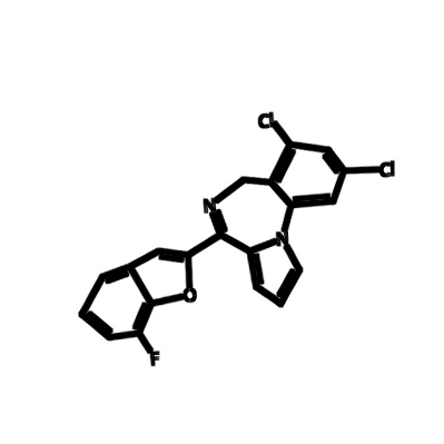 Fc1cccc2cc(C3=NCc4c(Cl)cc(Cl)cc4-n4cccc43)oc12